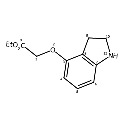 CCOC(=O)COc1cccc2c1CCN2